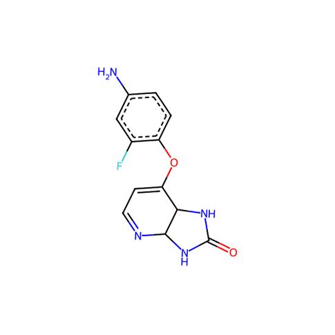 Nc1ccc(OC2=CC=NC3NC(=O)NC23)c(F)c1